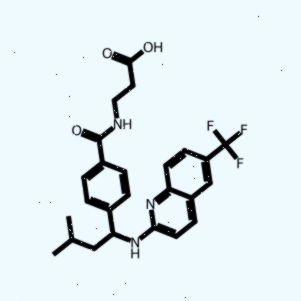 CC(C)CC(Nc1ccc2cc(C(F)(F)F)ccc2n1)c1ccc(C(=O)NCCC(=O)O)cc1